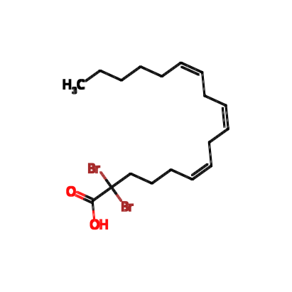 CCCCC/C=C\C/C=C\C/C=C\CCCC(Br)(Br)C(=O)O